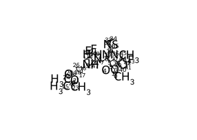 CCOC(=O)C1=C(CN2CC(F)(F)[C@@H]3CN([C@H]4C[C@H](C(=O)OC(C)(C)C)C4)C[C@@H]32)NC(c2nccs2)=N[C@H]1c1cccc(F)c1C